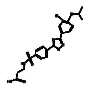 CC(C)Oc1ccc(-c2noc(-c3ccc(S(=O)(=O)NCCC(=O)O)cc3)n2)cc1Cl